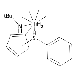 C[SiH](c1ccccc1)[TiH2]([CH3])([CH3])([CH3])([CH3])([NH]C(C)(C)C)[C]1=CC=CC1